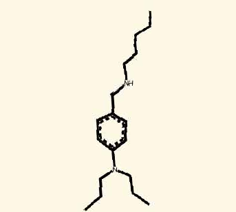 CCCCCNCc1ccc(N(CCC)CCC)cc1